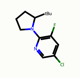 CC(C)(C)C1CCCN1c1ncc(Cl)cc1F